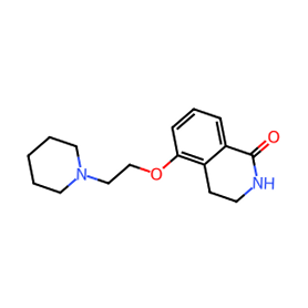 O=C1NCCc2c(OCCN3CCCCC3)cccc21